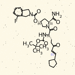 CC(C)(C)OC(=O)N[C@@H](CCC(=O)/C=C/C1CCCC1)C(=O)N1C[C@H](OC(=O)N2Cc3cccc(F)c3C2)C[C@H]1C(N)=O